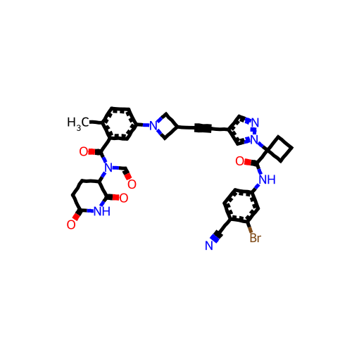 Cc1ccc(N2CC(C#Cc3cnn(C4(C(=O)Nc5ccc(C#N)c(Br)c5)CCC4)c3)C2)cc1C(=O)N(C=O)C1CCC(=O)NC1=O